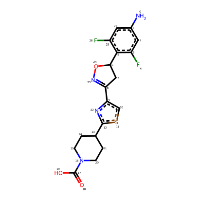 Nc1cc(F)c(C2CC(c3csc(C4CCN(C(=O)O)CC4)n3)=NO2)c(F)c1